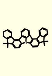 CC1(C)C2=C(C=CCC2)c2c1ccc1c2c2cccc3c4c5c(ccc4n1c23)C(C)(C)c1ccccc1-5